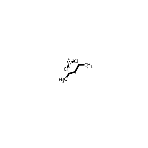 CCCCC.[Cl][W][Cl]